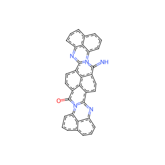 N=c1c2ccc3c4c(ccc(c24)c2nc4cccc5cccc(c54)n12)c(=O)n1c2cccc4cccc(nc31)c42